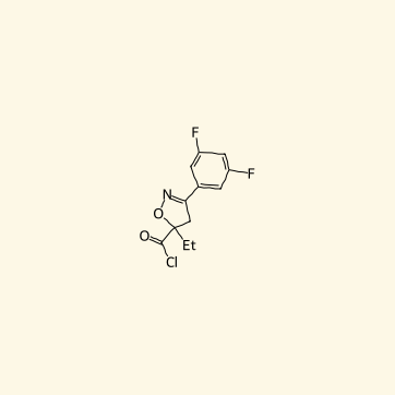 CCC1(C(=O)Cl)CC(c2cc(F)cc(F)c2)=NO1